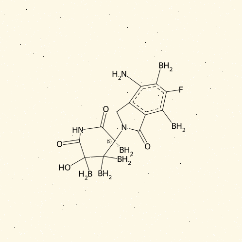 Bc1c(N)c2c(c(B)c1F)C(=O)N([C@]1(B)C(=O)NC(=O)C(B)(O)C1(B)B)C2